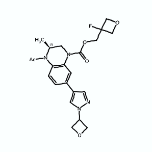 CC(=O)N1c2ccc(-c3cnn(C4COC4)c3)cc2N(C(=O)OCC2(F)COC2)C[C@@H]1C